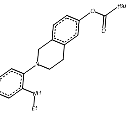 CCNc1ccccc1N1CCc2cc(OC(=O)C(C)(C)C)ccc2C1